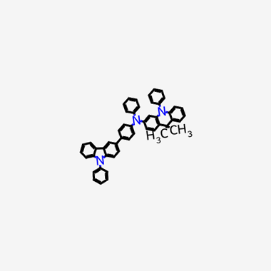 CC1(C)c2ccccc2N(c2ccccc2)c2cc(N(c3ccccc3)c3ccc(-c4ccc5c(c4)c4ccccc4n5-c4ccccc4)cc3)ccc21